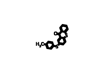 Cc1ccc(Sc2ccc3sc4ccccc4c(=O)c3c2)cc1